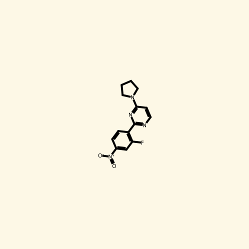 O=[N+]([O-])c1ccc(-c2nccc(N3CCCC3)n2)c(F)c1